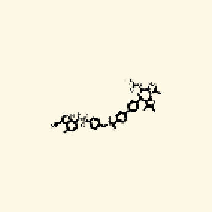 Cc1sc2c(c1C)C(c1ccc(-c3ccc(C(=O)NCc4ccc(S(=O)(=O)Nc5ccc(C)c6c(C#N)c[nH]c56)cc4)cc3)cc1)=NC(OC(N)=O)c1nnc(C)n1-2